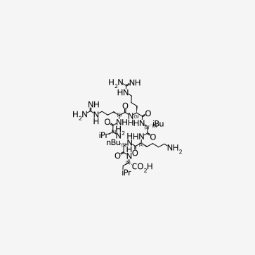 CCCC[C@H](NC(=O)[C@H](CCCCN)NC(=O)[C@@H](NC(=O)[C@H](CCCNC(=N)N)NC(=O)[C@H](CCCNC(=N)N)NC(=O)[C@@H](N)C(C)C)[C@@H](C)CC)C(=O)N[C@@H](CC(C)C)C(=O)O